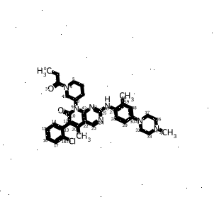 CCC(=O)N1CCCC(n2c(=O)c(-c3ccccc3Cl)c(C)c3cnc(Nc4ccc(N5CCN(C)CC5)cc4C)nc32)C1